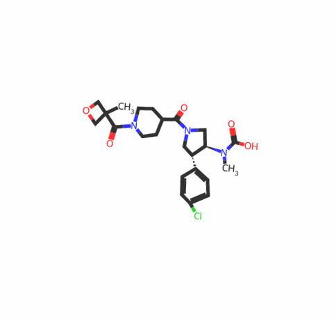 CN(C(=O)O)[C@@H]1CN(C(=O)C2CCN(C(=O)C3(C)COC3)CC2)C[C@H]1c1ccc(Cl)cc1